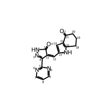 O=C1NN=C(c2ncccn2)C1=Cc1cc2c([nH]1)CCCC2=O